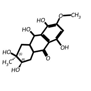 COc1cc(O)c2c(c1O)C(O)C1C[C@](C)(O)[C@H](O)CC1C2=O